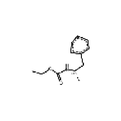 CCOC(=O)N[C@@H](C)Cc1ccccc1